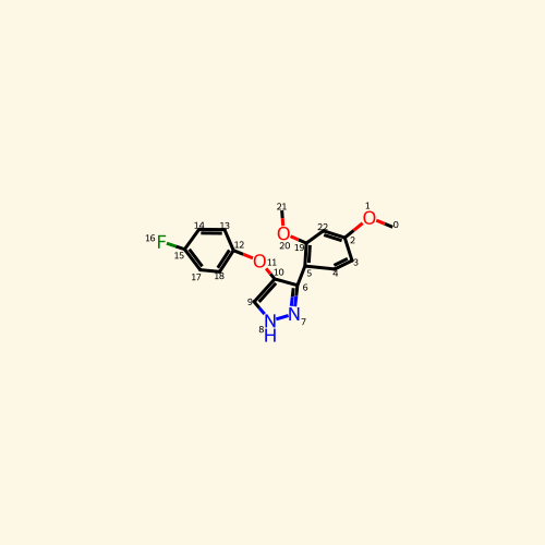 COc1ccc(-c2n[nH]cc2Oc2ccc(F)cc2)c(OC)c1